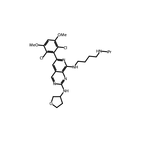 COc1cc(OC)c(Cl)c(-c2cc3cnc(NC4CCOC4)nc3c(NCCCCNC(C)C)n2)c1Cl